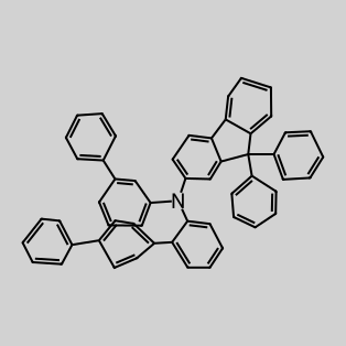 c1ccc(-c2ccc(-c3ccccc3N(c3cccc(-c4ccccc4)c3)c3ccc4c(c3)C(c3ccccc3)(c3ccccc3)c3ccccc3-4)cc2)cc1